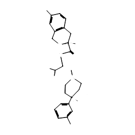 CC(C)[C@@H](CN1CC[C@@](C)(c2cccc(O)c2)[C@@H](C)C1)NC(=O)[C@@]1(C)Cc2ccc(O)cc2CN1